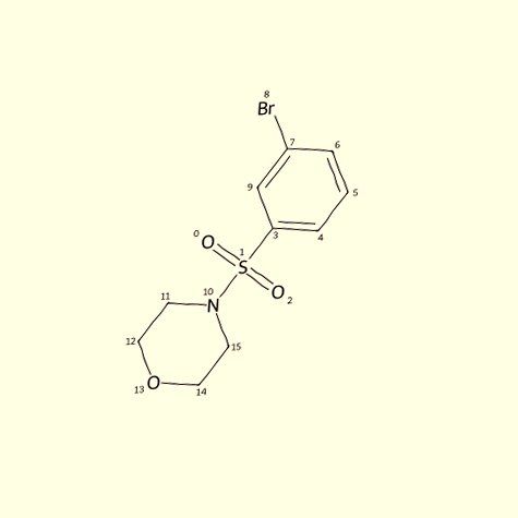 O=S(=O)(c1cccc(Br)c1)N1CCOCC1